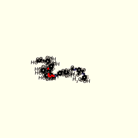 COc1cc(/C=C/C(=O)c2ccc(/C=C/C(=O)OC[C@H]3O[C@@H](Oc4ccc(/C=C/C(=O)OC[C@H]5O[C@@H](Oc6cc7c(O[C@@H]8O[C@H](COC(=O)CC(=O)O)[C@@H](O)[C@H](O)[C@H]8O)cc(O)cc7[o+]c6-c6ccc(O)c(O)c6)[C@H](O[C@@H]6O[C@H](CO)[C@@H](O)[C@H](O)[C@H]6O)[C@@H](O)[C@@H]5O)cc4)[C@H](O)[C@@H](O)[C@@H]3O)cc2OC)ccc1O